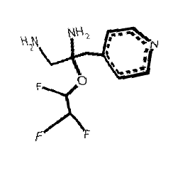 NCC(N)(OC(F)C(F)F)c1ccncc1